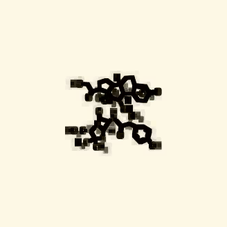 CC1(C)S[C@@H]2[C@H](NC(=O)[C@H](N)c3ccc(O)cc3)C(=O)N2[C@H]1C(=O)O.C[C@]12CCC(=O)C=C1CC[C@@H]1[C@@H]2[C@@H](O)C[C@@]2(C)[C@H]1CC[C@]2(O)C(=O)CO